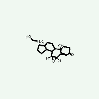 C[C@]12CCC(=O)C=C1[C@@H]1O[C@@H]1C1C2CC[C@@]2(C)C1CC[C@@H]2CCO